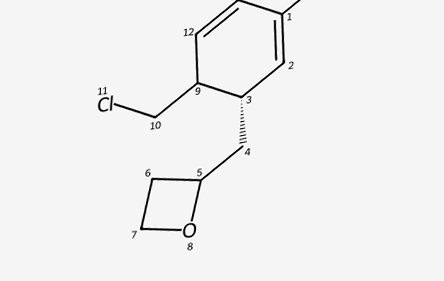 FC1=C[C@H](CC2CCO2)C(CCl)C=C1